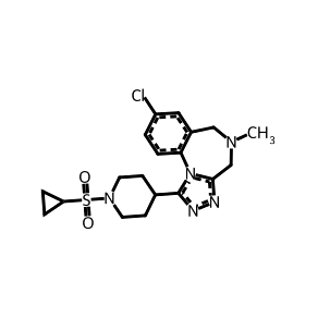 CN1Cc2cc(Cl)ccc2-n2c(nnc2C2CCN(S(=O)(=O)C3CC3)CC2)C1